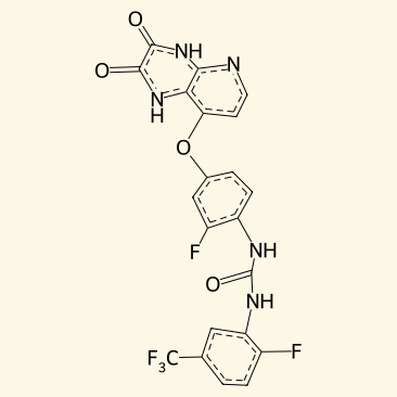 O=C(Nc1ccc(Oc2ccnc3[nH]c(=O)c(=O)[nH]c23)cc1F)Nc1cc(C(F)(F)F)ccc1F